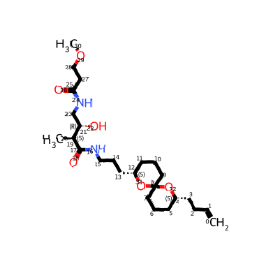 C=CCC[C@@H]1CCCC2(CCC[C@@H](CCCNC(=O)[C@@H](C)[C@@H](O)CNC(=O)CCOC)O2)O1